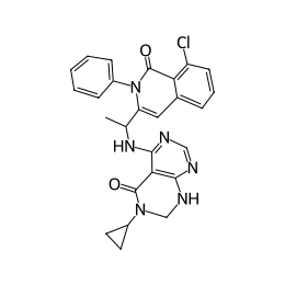 CC(Nc1ncnc2c1C(=O)N(C1CC1)CN2)c1cc2cccc(Cl)c2c(=O)n1-c1ccccc1